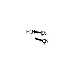 CC#N.CCN